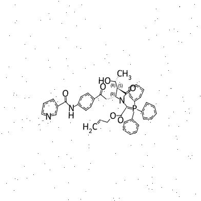 C=CCOC(=O)C(N1C(=O)[C@H]([C@@H](C)O)[C@H]1CC(=O)c1ccc(NC(=O)c2cccnc2)cc1)=P(c1ccccc1)(c1ccccc1)c1ccccc1